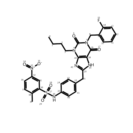 CCCCn1c(=O)n(Cc2ccccc2F)c(=O)c2[nH]c(Cc3ccc(NS(=O)(=O)c4cc([N+](=O)[O-])ccc4C)cc3)nc21